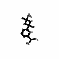 CC(C)c1cccc(C2(O)CC(C)(F)C2)n1